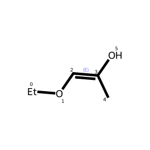 CCO/C=C(\C)O